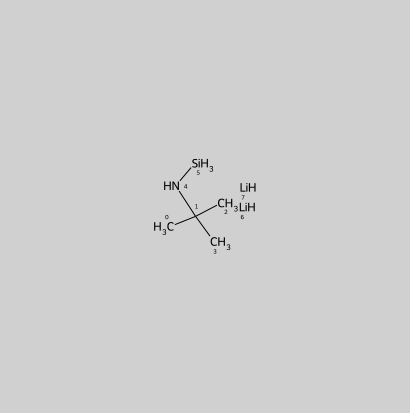 CC(C)(C)N[SiH3].[LiH].[LiH]